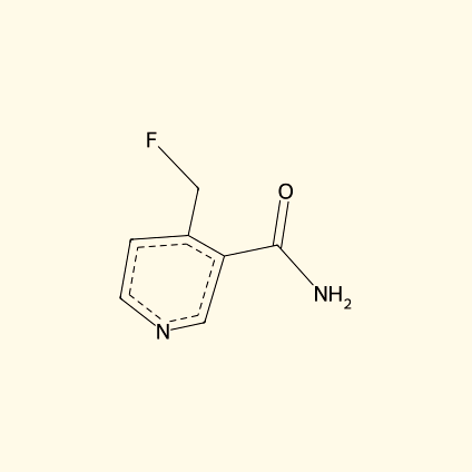 NC(=O)c1cnccc1CF